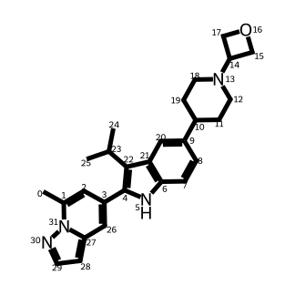 Cc1cc(-c2[nH]c3ccc(C4CCN(C5COC5)CC4)cc3c2C(C)C)cc2ccnn12